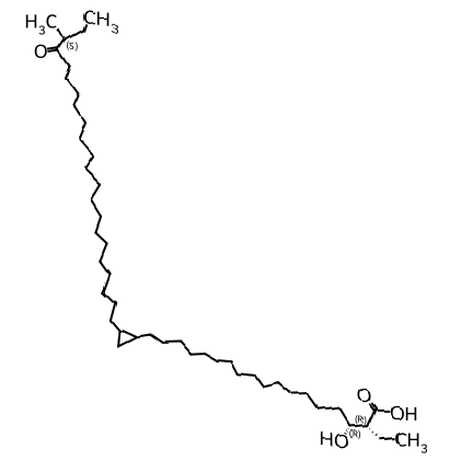 CC[C@H](C)C(=O)CCCCCCCCCCCCCCCCCCC1CC1CCCCCCCCCCCCCCC[C@@H](O)[C@@H](CC)C(=O)O